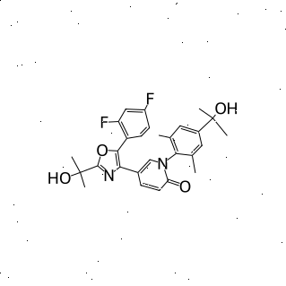 Cc1cc(C(C)(C)O)cc(C)c1-n1cc(-c2nc(C(C)(C)O)oc2-c2ccc(F)cc2F)ccc1=O